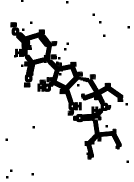 CCC(CC)[PH](=O)OC(C)(CC)C[C@H]1CC(n2ccc(=O)[nH]c2=O)[C@H](O)C1O